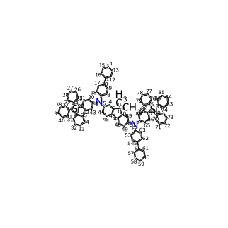 CC1(C)c2cc(N(c3ccc(-c4ccccc4)cc3)c3ccc([Si](c4ccccc4)(c4ccccc4)c4ccccc4)cc3)ccc2-c2ccc(N(c3ccc(-c4ccccc4)cc3)c3ccc([Si](c4ccccc4)(c4ccccc4)c4ccccc4)cc3)cc21